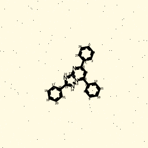 c1ccc(-c2cc(-c3ccccc3)n3nc(-c4ccccc4)nc3n2)cc1